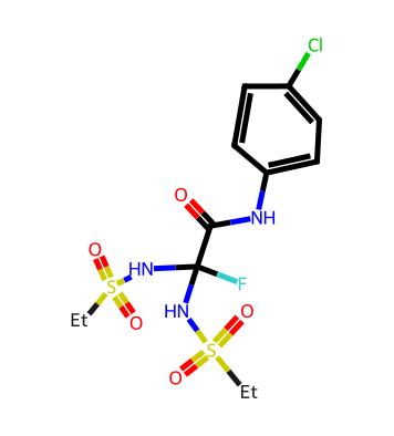 CCS(=O)(=O)NC(F)(NS(=O)(=O)CC)C(=O)Nc1ccc(Cl)cc1